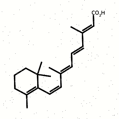 CC1=C(\C=C/C(C)=C/C=C/C(C)=C/C(=O)O)C(C)(C)CCC1